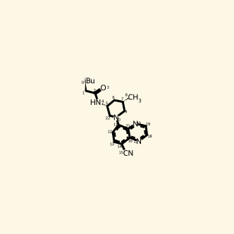 CC[C@H](C)CC(=O)N[C@@H]1C[C@H](C)CN(c2ccc(C#N)c3nccnc23)C1